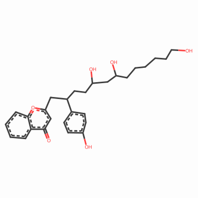 O=c1cc(CC(CCC(O)CC(O)CCCCCCO)c2ccc(O)cc2)oc2ccccc12